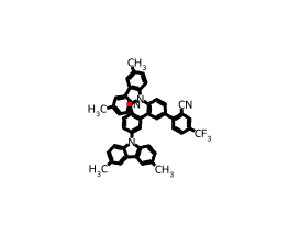 Cc1ccc2c(c1)c1cc(C)ccc1n2-c1ccc(C#N)c(-c2cc(-c3ccc(C(F)(F)F)cc3C#N)ccc2-n2c3ccc(C)cc3c3cc(C)ccc32)c1